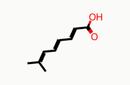 CC(C)=CC=CC=CC(=O)O